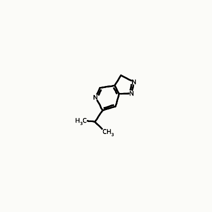 CC(C)c1cc2c(cn1)CN=N2